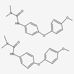 COc1ccc(Oc2ccc(NC(=O)N(C)C)cc2)cc1.COc1ccc(Oc2ccc(NC(=O)N(C)C)cc2)cc1